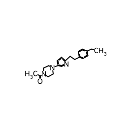 CCc1ccc(CCc2ccc(N3CCN(C(C)=O)CC3)cn2)cc1